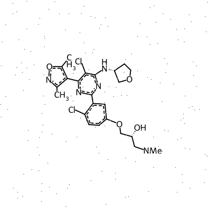 CNC[C@@H](O)COc1ccc(Cl)c(-c2nc(N[C@@H]3CCOC3)c(Cl)c(-c3c(C)noc3C)n2)c1